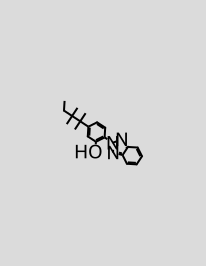 CCC(C)(C)C(C)(C)c1ccc(-n2nc3ccccc3n2)c(O)c1